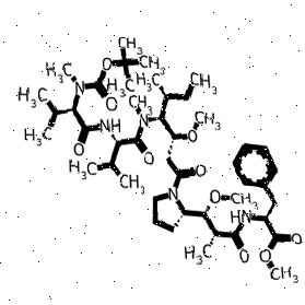 CC[C@H](C)[C@@H]([C@@H](CC(=O)N1CCC[C@H]1[C@H](OC)[C@@H](C)C(=O)N[C@@H](Cc1ccccc1)C(=O)OC)OC)N(C)C(=O)[C@@H](NC(=O)[C@@H](C(C)C)N(C)C(=O)OC(C)(C)C)C(C)C